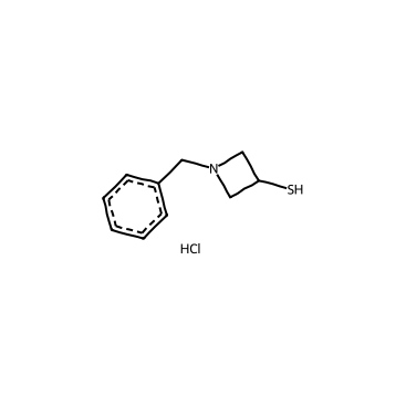 Cl.SC1CN(Cc2ccccc2)C1